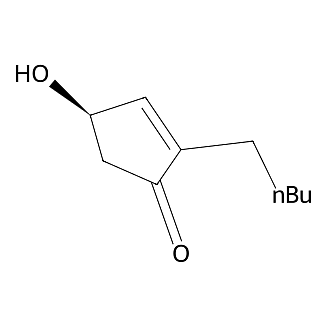 CCCCCC1=C[C@H](O)CC1=O